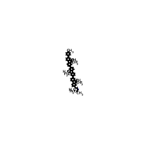 C=C(C)/C=C\C(=C)c1ccc2c(c1)C(C)(C)c1cc(-c3ccc4c(c3)C(C)(C(F)(F)F)c3cc(-c5ccc6c(c5)C(C)(C)c5cc(-c7ccc(C)cc7)ccc5-6)ccc3-4)ccc1-2